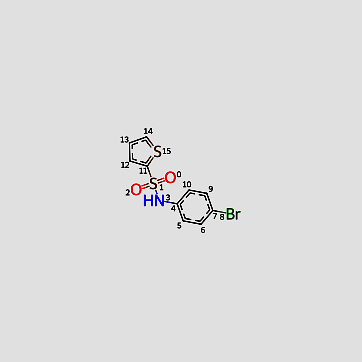 O=S(=O)(Nc1ccc(Br)cc1)c1cccs1